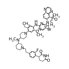 CCc1cc(Nc2ncc(Br)c(Nc3ccc4nccnc4c3P(C)(C)=O)n2)c(OC)cc1N1CCC(N(C)[C@@H]2CCCN(CCc3ccc(C4CCC(=O)NC4=O)c(F)c3)C2)CC1